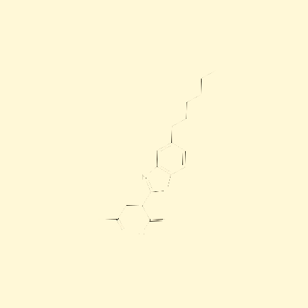 CCCCCCc1ccc2sc(C(CC(=O)O)C(O)=S)nc2c1